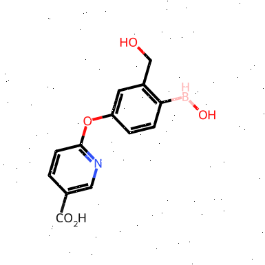 O=C(O)c1ccc(Oc2ccc(BO)c(CO)c2)nc1